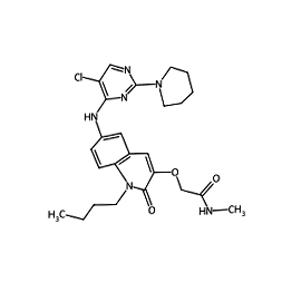 CCCCn1c(=O)c(OCC(=O)NC)cc2cc(Nc3nc(N4CCCCC4)ncc3Cl)ccc21